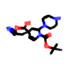 CC(C)(C)OC(=O)N1C=CC(CC#N)(C(=O)O)C=C1N1CCNCC1